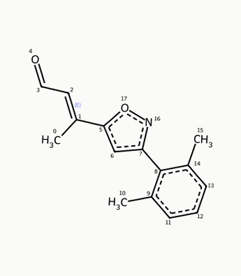 C/C(=C\C=O)c1cc(-c2c(C)cccc2C)no1